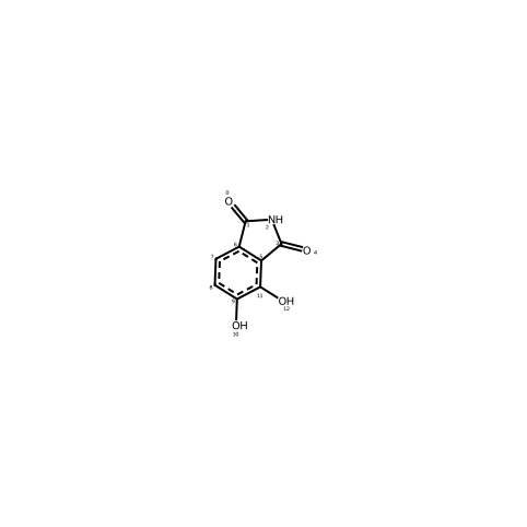 O=C1NC(=O)c2c1ccc(O)c2O